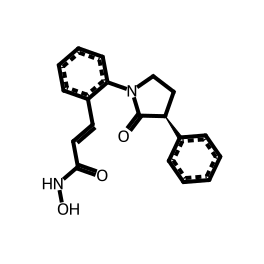 O=C(/C=C/c1ccccc1N1CC[C@@H](c2ccccc2)C1=O)NO